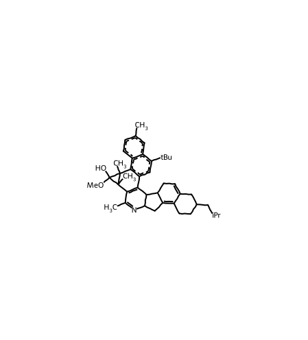 COC1(O)C2(C)C3=C(c4cc(C(C)(C)C)c5cc(C)ccc5c4C12C)C1C(CC2=C4CCC(CC(C)C)CC4=CCC21)N=C3C